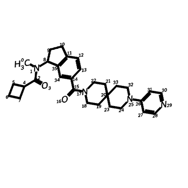 CN(C(=O)C1CCC1)C1CCc2ccc(C(=O)N3CCC4(CC3)CCN(c3ccncc3)CC4)cc21